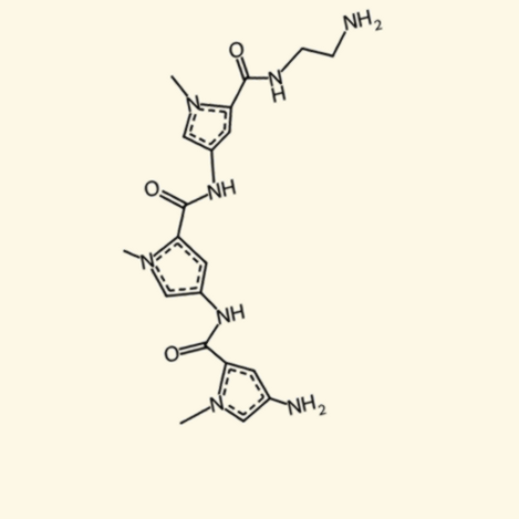 Cn1cc(NC(=O)c2cc(NC(=O)c3cc(N)cn3C)cn2C)cc1C(=O)NCCN